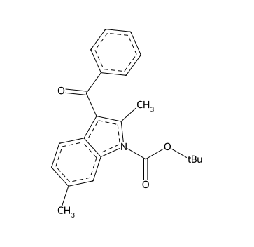 Cc1ccc2c(C(=O)c3ccccc3)c(C)n(C(=O)OC(C)(C)C)c2c1